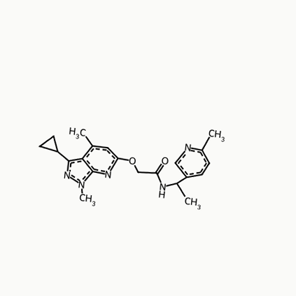 Cc1ccc(C(C)NC(=O)COc2cc(C)c3c(C4CC4)nn(C)c3n2)cn1